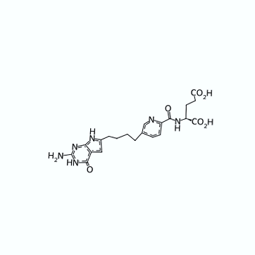 Nc1nc2[nH]c(CCCCc3ccc(C(=O)N[C@@H](CCC(=O)O)C(=O)O)nc3)cc2c(=O)[nH]1